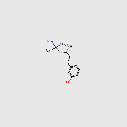 CC(CCc1cccc(O)c1)CC(C)(N)C(=O)O